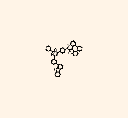 CN1C(c2ccc(-c3nc4cccc(-c5ccccc5)c4c4c3oc3ccccc34)cc2)=CC(c2cccc(-c3cccc4c3oc3ccccc34)c2)=NC1c1ccccc1